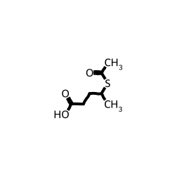 CC(=O)SC(C)CCC(=O)O